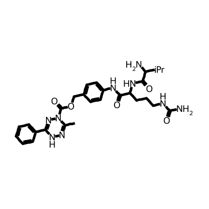 CC1=NNC(c2ccccc2)=NN1C(=O)OCc1ccc(NC(=O)C(CCCNC(N)=O)NC(=O)C(N)C(C)C)cc1